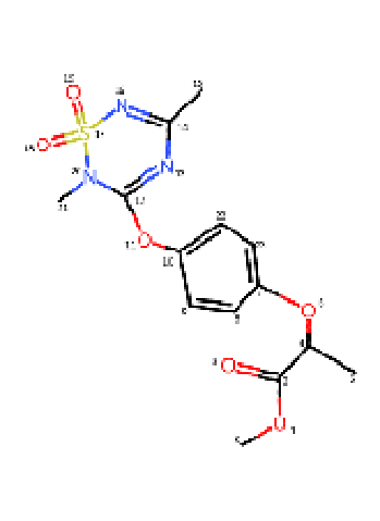 COC(=O)C(C)Oc1ccc(OC2=NC(C)=NS(=O)(=O)N2C)cc1